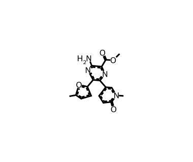 COC(=O)c1nc(-c2ccc(=O)n(C)c2)c(-c2ccc(C)o2)nc1N